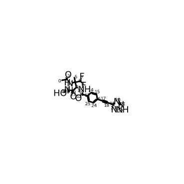 CC(=O)NC(C)(C(F)F)[C@H](NC(=O)c1ccc(C#Cc2nn[nH]n2)cc1)C(=O)NO